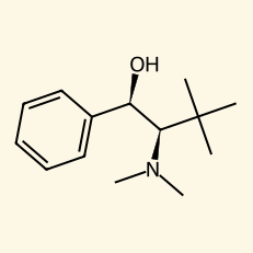 CN(C)[C@@H]([C@H](O)c1ccccc1)C(C)(C)C